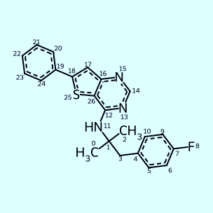 CC(C)(Cc1ccc(F)cc1)Nc1ncnc2cc(-c3ccccc3)sc12